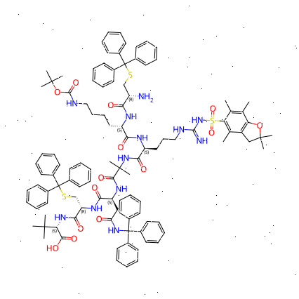 Cc1c(C)c(S(=O)(=O)NC(=N)NCCC[C@H](NC(=O)[C@H](CCCCNC(=O)OC(C)(C)C)NC(=O)[C@@H](N)CSC(c2ccccc2)(c2ccccc2)c2ccccc2)C(=O)NC(C)(C)C(=O)N[C@@H](CC(=O)NC(c2ccccc2)(c2ccccc2)c2ccccc2)C(=O)N[C@@H](CSC(c2ccccc2)(c2ccccc2)c2ccccc2)C(=O)N[C@H](C(=O)O)C(C)(C)C)c(C)c2c1OC(C)(C)C2